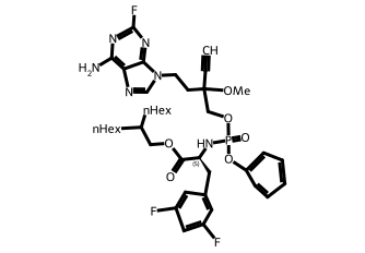 C#CC(CCn1cnc2c(N)nc(F)nc21)(COP(=O)(N[C@@H](Cc1cc(F)cc(F)c1)C(=O)OCC(CCCCCC)CCCCCC)Oc1ccccc1)OC